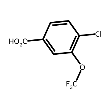 O=C(O)c1ccc(Cl)c(OC(F)(F)F)c1